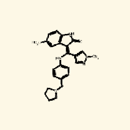 Cn1cc(C(Nc2ccc(CN3CCCC3)cc2)=C2C(=O)Nc3ccc(C(=O)O)cc32)cn1